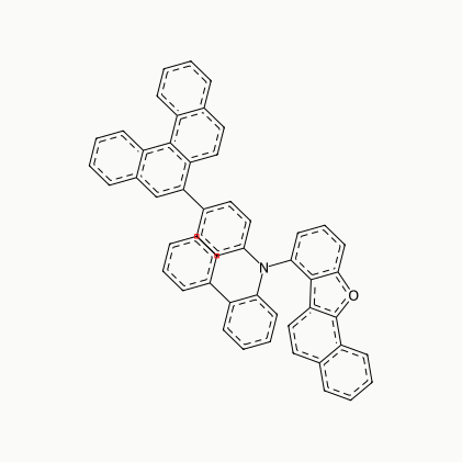 c1ccc(-c2ccccc2N(c2ccc(-c3cc4ccccc4c4c3ccc3ccccc34)cc2)c2cccc3oc4c5ccccc5ccc4c23)cc1